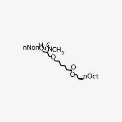 CCCCCCCC/C=C\COC(=O)CCCCCOCC(COCCCCCCCCC)N(C)C